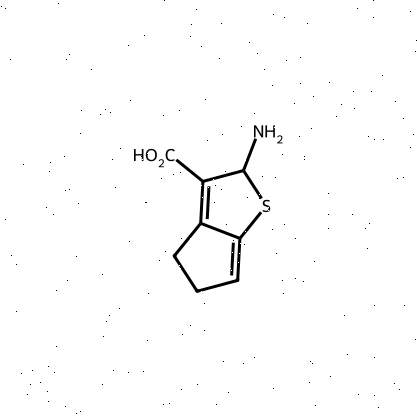 NC1SC2=CCCC2=C1C(=O)O